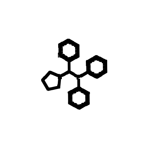 c1ccc(P(c2ccccc2)C(c2ccccn2)N2CCCC2)cc1